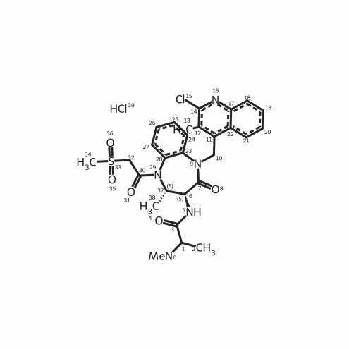 CNC(C)C(=O)N[C@@H]1C(=O)N(Cc2c(C)c(Cl)nc3ccccc23)c2ccccc2N(C(=O)CS(C)(=O)=O)[C@H]1C.Cl